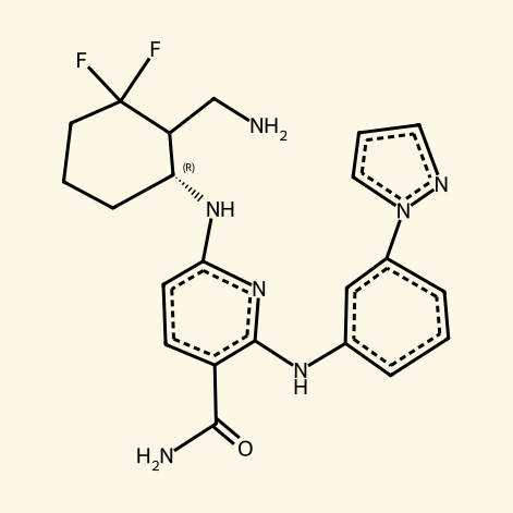 NCC1[C@H](Nc2ccc(C(N)=O)c(Nc3cccc(-n4cccn4)c3)n2)CCCC1(F)F